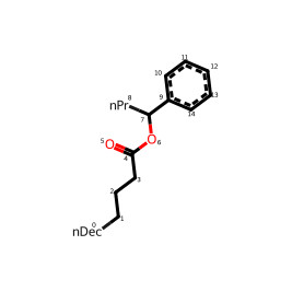 CCCCCCCCCCCCCC(=O)OC(CCC)c1ccccc1